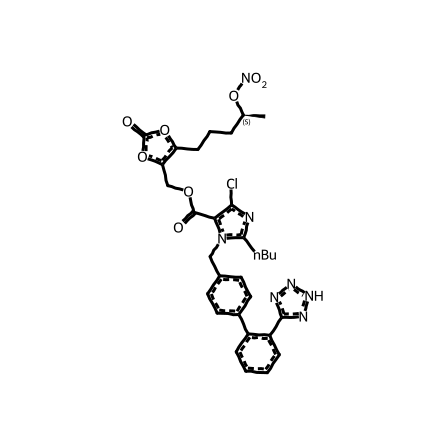 CCCCc1nc(Cl)c(C(=O)OCc2oc(=O)oc2CCC[C@H](C)O[N+](=O)[O-])n1Cc1ccc(-c2ccccc2-c2nn[nH]n2)cc1